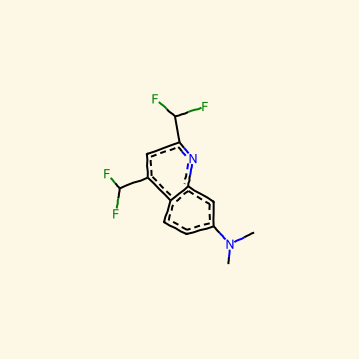 CN(C)c1ccc2c(C(F)F)cc(C(F)F)nc2c1